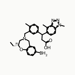 Bc1ccc2c(c1)CN(Cc1cc(C(CC(=O)O)c3ccc4c(nnn4C)c3C)ccc1C)C[C@@H](CC)O2